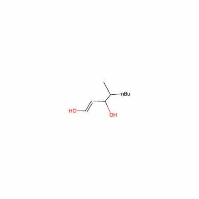 CCCCC(C)C(O)C=CO